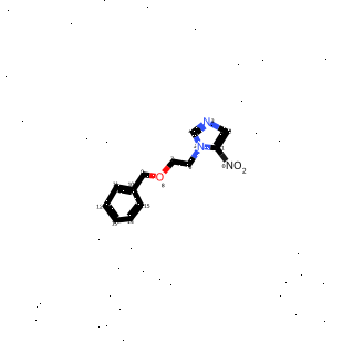 O=[N+]([O-])c1cncn1CCOCc1ccccc1